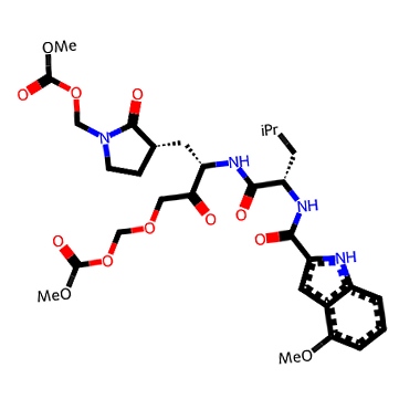 COC(=O)OCOCC(=O)[C@H](C[C@@H]1CCN(COC(=O)OC)C1=O)NC(=O)[C@H](CC(C)C)NC(=O)c1cc2c(OC)cccc2[nH]1